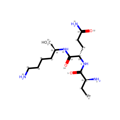 CC(C)C[C@H](N)C(=O)N[C@@H](CCC(N)=O)C(=O)N[C@@H](CCCCN)C(=O)O